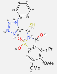 COc1cc2c(c(C(C)C)c1OC)C(=O)N(C(S)c1nnnn1-c1ccccc1)S2(=O)=O